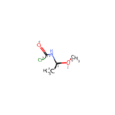 COC(C)NC(=O)Cl